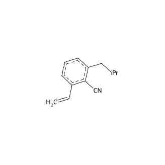 C=Cc1cccc(CC(C)C)c1C#N